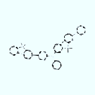 C[Si]1(C)c2ccccc2-c2ccc(-c3ccc(N(c4ccccc4)c4ccc5c(c4)[Si](C)(C)c4cc(-c6ccccc6)ccc4-5)cc3)cc21